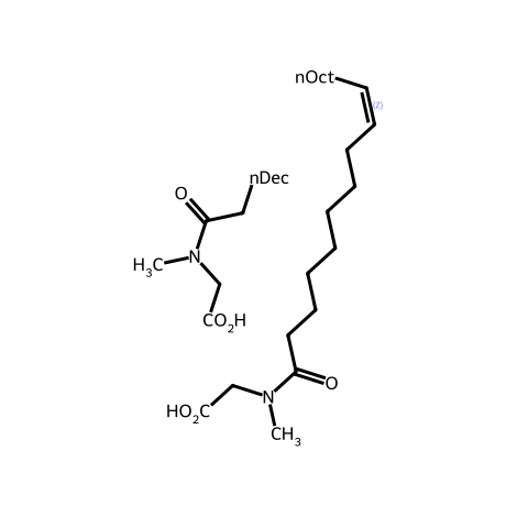 CCCCCCCC/C=C\CCCCCCCC(=O)N(C)CC(=O)O.CCCCCCCCCCCC(=O)N(C)CC(=O)O